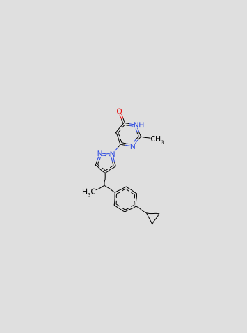 Cc1nc(-n2cc(C(C)c3ccc(C4CC4)cc3)cn2)cc(=O)[nH]1